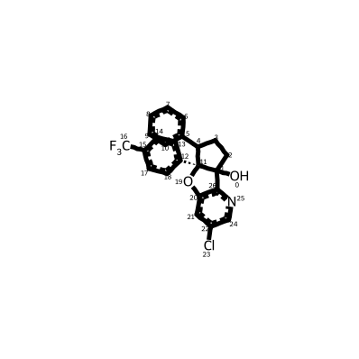 OC12CCC(c3ccccc3)[C@]1(c1ccc(C(F)(F)F)cc1)Oc1cc(Cl)cnc12